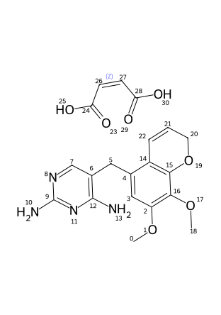 COc1cc(Cc2cnc(N)nc2N)c2c(c1OC)OCC=C2.O=C(O)/C=C\C(=O)O